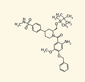 CNS(=O)(=O)c1ccc(C2CCN(C(=O)c3cc(OC)c(OCc4ccccc4)cc3N)[C@H](CO[Si](C)(C)C(C)(C)C)C2)cc1